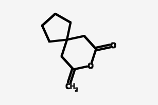 C=C1CC2(CCCC2)CC(=O)O1